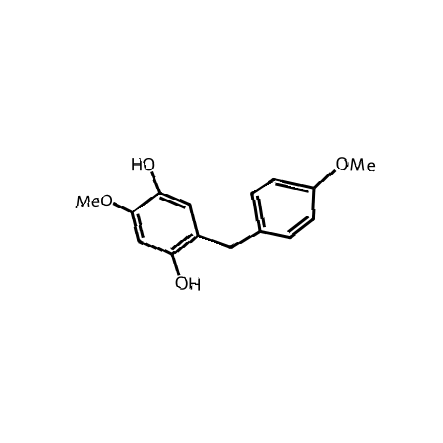 COc1ccc(Cc2cc(O)c(OC)cc2O)cc1